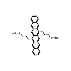 CCCCOCCCc1c2cc3ccccc3cc2cc2c(CCCOCCCC)c3cc4ccccc4cc3cc12